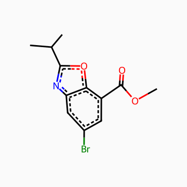 COC(=O)c1cc(Br)cc2nc(C(C)C)oc12